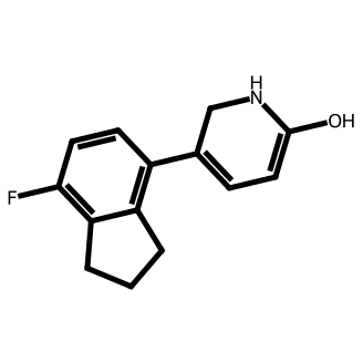 OC1=CC=C(c2ccc(F)c3c2CCC3)CN1